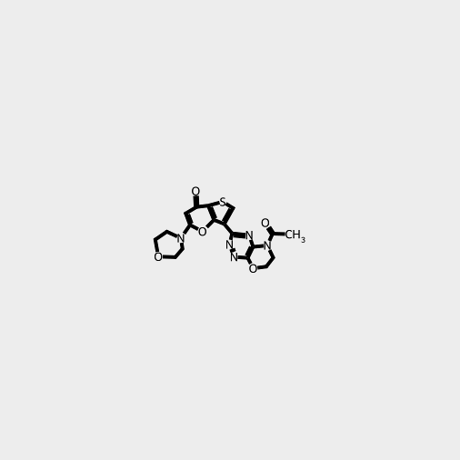 CC(=O)N1CCOc2nnc(-c3csc4c(=O)cc(N5CCOCC5)oc34)nc21